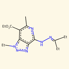 CCOC(=O)c1c(C)nc(NN=C(CC)CC)c2nnn(CC)c12